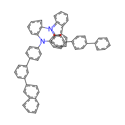 c1ccc(-c2ccc(-c3ccc(N(c4ccc(-c5cccc(-c6ccc7ccccc7c6)c5)cc4)c4ccccc4-n4c5ccccc5c5ccccc54)cc3)cc2)cc1